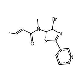 C/C=C/C(=O)N(C)C1SC(c2cccnc2)=NC1Br